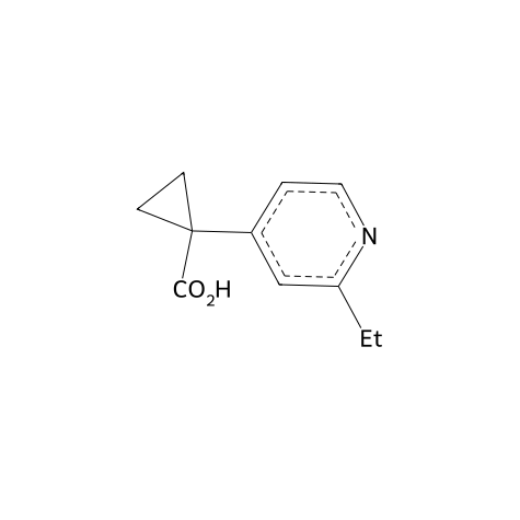 CCc1cc(C2(C(=O)O)CC2)ccn1